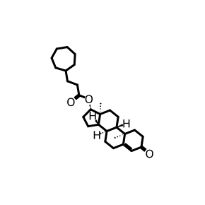 C[C@]12CC[C@H]3[C@@H](CCC4=CC(=O)CC[C@@]43C)[C@@H]1CC[C@@H]2OC(=O)CCC1CCCCCC1